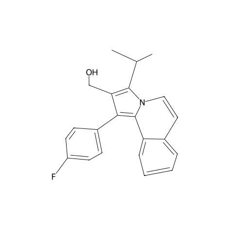 CC(C)c1c(CO)c(-c2ccc(F)cc2)c2c3ccccc3ccn12